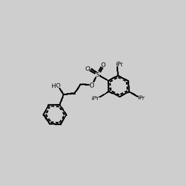 CC(C)c1cc(C(C)C)c(S(=O)(=O)OCCC(O)c2ccccc2)c(C(C)C)c1